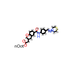 CCCCCCCCOC(=O)CC1COc2ccc(C(=O)Nc3ccc(/C=N/N4CCSCC4)cc3)cc2C1